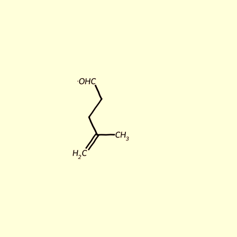 C=C(C)CC[C]=O